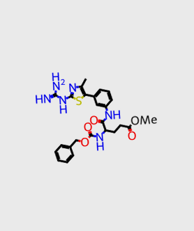 COC(=O)CCC(NC(=O)OCc1ccccc1)C(=O)Nc1cccc(-c2sc(NC(=N)N)nc2C)c1